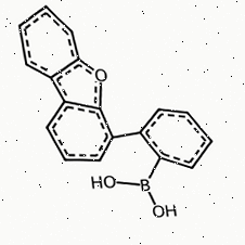 OB(O)c1ccccc1-c1cccc2c1oc1ccccc12